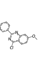 COc1ccc2c(Cl)nc(-c3cccnc3)nc2c1